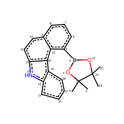 CC1(C)OB(c2cccc3ccc4[nH]c5ccccc5c4c23)OC1(C)C